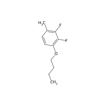 CCCCOc1ccc(C)c(F)c1F